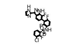 O=S(=O)(Nc1ccc(F)c(-c2ccc3c(-c4ncc[nH]4)n[nH]c3c2F)c1F)c1cccc(Cl)c1F